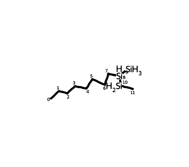 CCCCCCCC[SiH]([SiH3])[SiH2]C